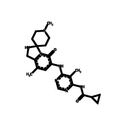 Cc1cc(Nc2ncnc(NC(=O)C3CC3)c2C)c(=O)n2c1CNC21CCN(C)CC1